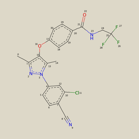 Cc1nn(-c2ccc(C#N)c(Cl)c2)c(C)c1Oc1ccc(C(=O)NCC(F)(F)F)cc1